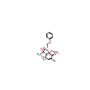 [2H]C1=C[C@]2(CO2)[C@@H](C2(C)O[C@@H]2CCOc2ccccc2)[C@]([2H])(OC)C1=O